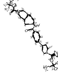 CC(C)(C)OC(=O)N1CC=C(c2ccc(C(=O)Nc3ccc4c(c3)CN(C(=O)OC(C)(C)C)C4)cc2)CC1